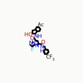 CC(=O)c1ccc2c(c1)C[C@H](O)[C@@H]2NC(=O)c1cc(C(=O)NCc2ccc(C(F)(F)F)cc2)nc2c(F)cnn12